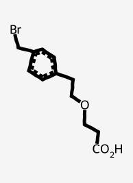 O=C(O)CCOCCc1ccc(CBr)cc1